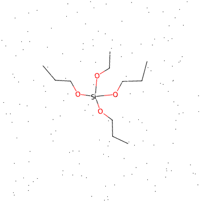 CCCO[Si](OCC)(OCCC)OCCC